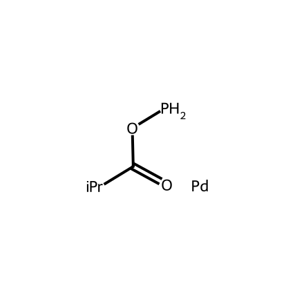 CC(C)C(=O)OP.[Pd]